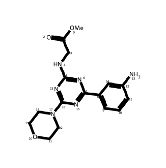 COC(=O)CNc1nc(-c2cccc(N)c2)nc(N2CCOCC2)n1